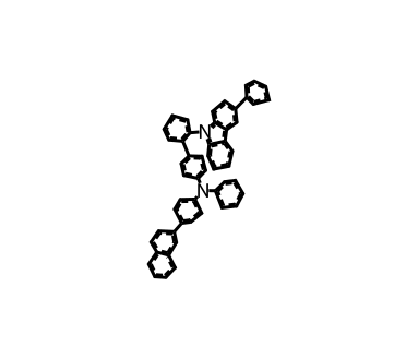 c1ccc(-c2ccc3c(c2)c2ccccc2n3-c2ccccc2-c2ccc(N(c3ccccc3)c3ccc(-c4ccc5ccccc5c4)cc3)cc2)cc1